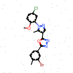 COc1ccc(Cl)cc1-n1ncc(-c2nnc(-c3ccc(C)c(Br)c3)o2)c1C